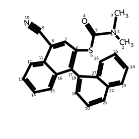 CN(C)C(=O)Sc1cc(C#N)c2ccccc2c1-c1cccc2ccccc12